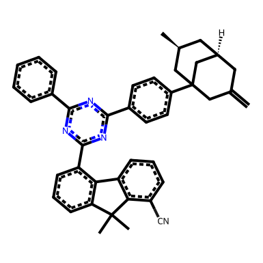 C=C1C[C@@H]2C[C@H](C)CC(c3ccc(-c4nc(-c5ccccc5)nc(-c5cccc6c5-c5cccc(C#N)c5C6(C)C)n4)cc3)(C1)C2